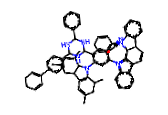 CC1=CC2=C(C(C)C1)N(c1cc(-n3c4c(c5ccccc53)C=CC3c5ccccc5N(C5=CCCC=C5)C43)c(C#N)cc1C1NC(c3ccccc3)NC(c3ccc(C4=CCCC=C4)cc3)N1)C1C(C)=CC(C)CC21